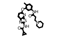 Cc1ccc(NC(=O)CCN2CCCCC2)cc1Oc1ccc2nc(NC(=O)C3CC3)sc2n1